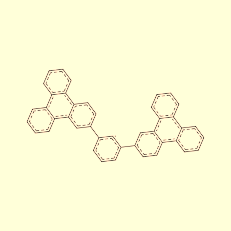 [c]1c(-c2ccc3c4ccccc4c4ccccc4c3c2)cccc1-c1ccc2c3ccccc3c3ccccc3c2c1